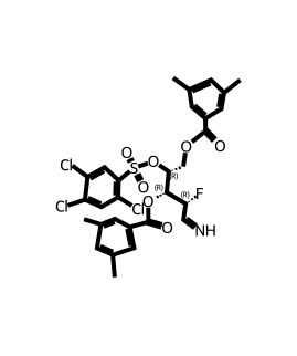 Cc1cc(C)cc(C(=O)OC[C@@H](OS(=O)(=O)c2cc(Cl)c(Cl)cc2Cl)[C@@H](OC(=O)c2cc(C)cc(C)c2)[C@H](F)C=N)c1